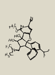 COc1nc(C#N)cc2c1C1(O)C(O)C(CN(C)C)C(c3ccccc3)C1(c1ccc(C(F)F)cc1)O2